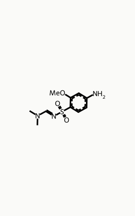 COc1cc(N)ccc1S(=O)(=O)/N=C/N(C)C